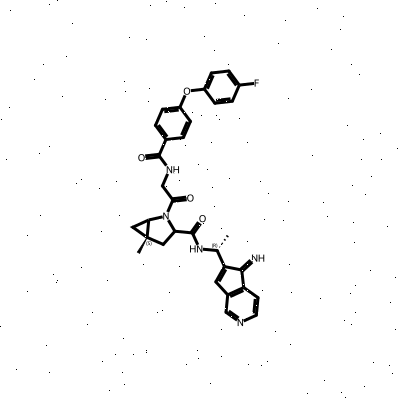 C[C@@H](NC(=O)C1C[C@]2(C)CC2N1C(=O)CNC(=O)c1ccc(Oc2ccc(F)cc2)cc1)C1=Cc2cnccc2C1=N